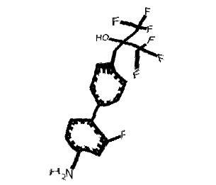 Nc1ccc(-c2ccc(C(O)(C(F)(F)F)C(F)(F)F)cc2)c(F)c1